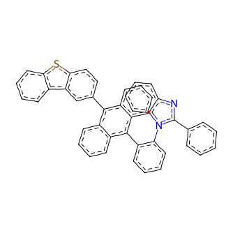 c1ccc(-c2nc3ccccc3n2-c2ccccc2-c2c3ccccc3c(-c3ccc4sc5ccccc5c4c3)c3ccccc23)cc1